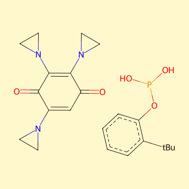 CC(C)(C)c1ccccc1OP(O)O.O=C1C=C(N2CC2)C(=O)C(N2CC2)=C1N1CC1